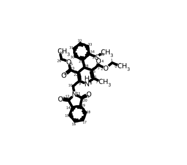 CCOC(=O)C1=C(C)NC(CN2C(=O)c3ccccc3C2=O)=C(C(=O)OCC)C1c1ccccc1SC